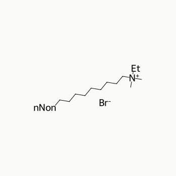 CCCCCCCCCCCCCCCCCC[N+](C)(C)CC.[Br-]